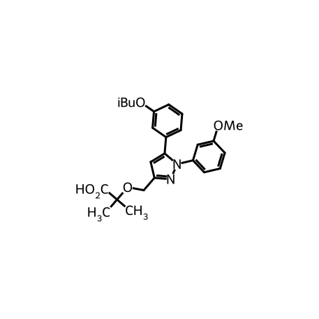 COc1cccc(-n2nc(COC(C)(C)C(=O)O)cc2-c2cccc(OCC(C)C)c2)c1